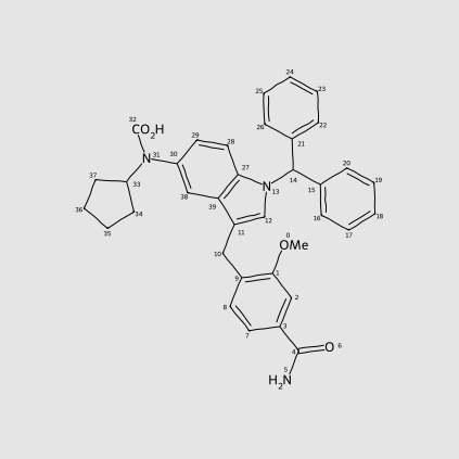 COc1cc(C(N)=O)ccc1Cc1cn(C(c2ccccc2)c2ccccc2)c2ccc(N(C(=O)O)C3CCCC3)cc12